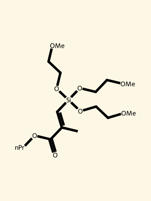 CCCOC(=O)C(C)=C[Si](OCCOC)(OCCOC)OCCOC